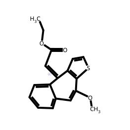 CCOC(=O)/C=C1/c2ccccc2C=C(OC)c2sccc21